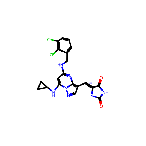 O=C1NC(=O)/C(=C/c2cnn3c(NC4CC4)cc(NCc4cccc(Cl)c4Cl)nc23)N1